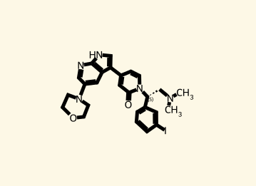 CN(C)C[C@H](c1cccc(I)c1)n1ccc(-c2c[nH]c3ncc(N4CCOCC4)cc23)cc1=O